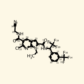 CCn1c(C(=O)NC(c2cccc(C(F)(F)F)c2)C(F)(F)F)cc2cc(C(=O)NCC#N)c(Cl)nc21